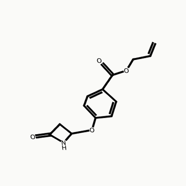 C=CCOC(=O)c1ccc(OC2CC(=O)N2)cc1